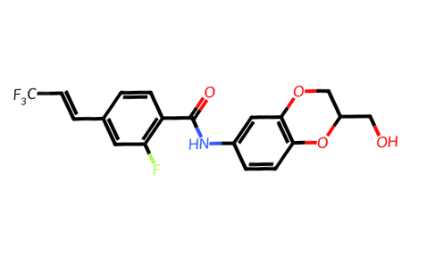 O=C(Nc1ccc2c(c1)OCC(CO)O2)c1ccc(/C=C/C(F)(F)F)cc1F